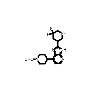 O=CN1CCC(c2ccnc3[nH]c(C4CNCC(F)(F)C4)nc23)CC1